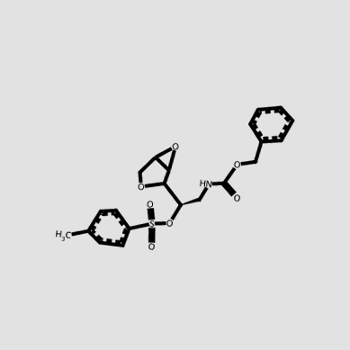 Cc1ccc(S(=O)(=O)O[C@H](CNC(=O)OCc2ccccc2)C2OCC3OC32)cc1